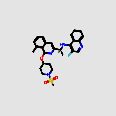 Cc1cccc2cc([C@H](C)Nc3c(F)cnc4ccccc34)nc(OC3CCN(S(C)(=O)=O)CC3)c12